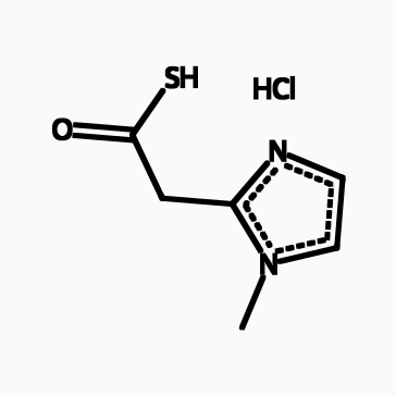 Cl.Cn1ccnc1CC(=O)S